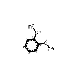 CC(C)Oc1[c]cccc1OC(C)C